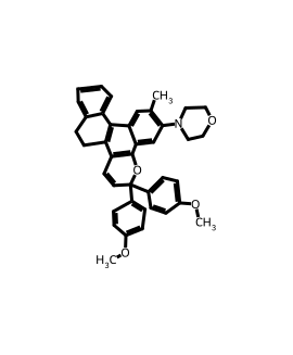 COc1ccc(C2(c3ccc(OC)cc3)C=Cc3c4c(c5cc(C)c(N6CCOCC6)cc5c3O2)-c2ccccc2CC4)cc1